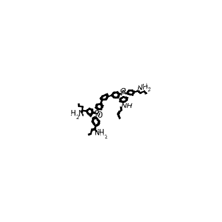 CCCCNc1ccc(P(=O)(c2ccc(-c3cccc(-c4ccc(P(=O)(c5ccc(C(N)CCC)cc5)c5ccc(C(N)CCC)cc5)cc4)c3)cc2)c2ccc(C(N)CCC)cc2)cc1